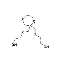 SCCSCC1(CSCCS)CSCCS1